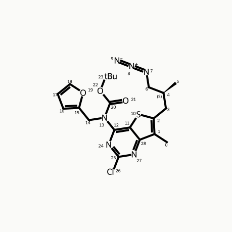 Cc1c(C[C@H](C)CN=[N+]=[N-])sc2c(N(Cc3ccco3)C(=O)OC(C)(C)C)nc(Cl)nc12